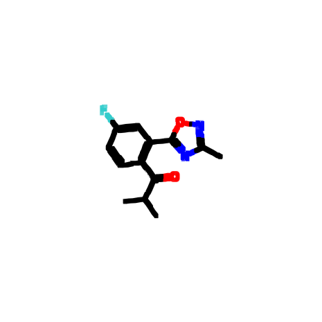 Cc1noc(-c2cc(F)ccc2C(=O)C(C)C)n1